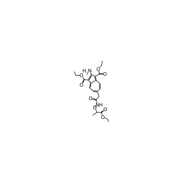 CCOC(=O)c1c2ccc(CC(=O)NOC(C)C(=O)OCC)ccc-2c(C(=O)OCC)c1N